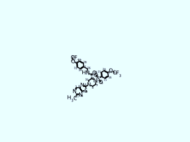 Cc1ncc2nc(N3CCN(S(=O)(=O)c4ccc(OC(F)(F)F)cc4)[C@@H](C(=O)NCc4ccc(OC(F)(F)F)cc4)C3)sc2n1